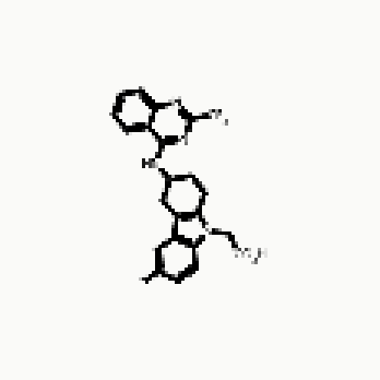 O=C(O)Cn1c2c(c3cc(F)ccc31)CC(Nc1nc(C(F)(F)F)nc3ccccc13)CC2